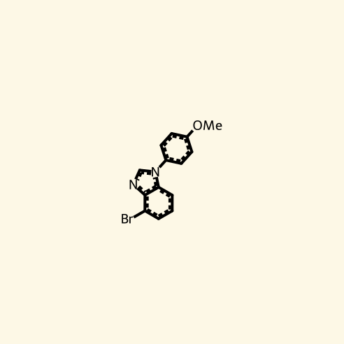 COc1ccc(-n2cnc3c(Br)cccc32)cc1